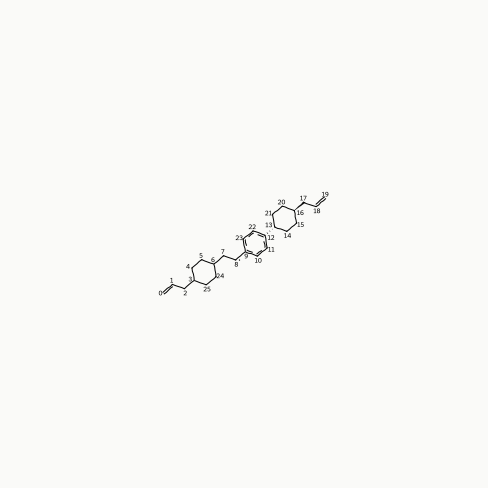 C=CCC1CCC(C[CH]c2ccc([C@H]3CC[C@H](CC=C)CC3)cc2)CC1